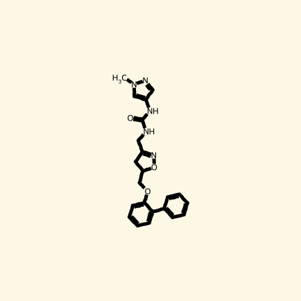 Cn1cc(NC(=O)NCC2=NOC(COc3ccccc3-c3ccccc3)C2)cn1